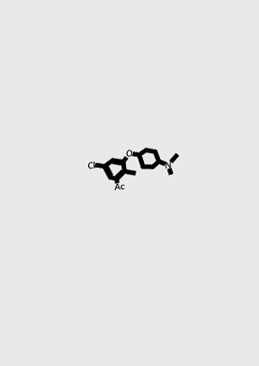 CC(=O)c1cc(Cl)cc(OC2CCC(N(C)C)CC2)c1C